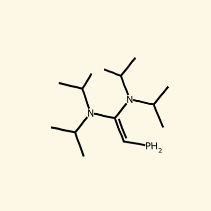 CC(C)N(C(=CP)N(C(C)C)C(C)C)C(C)C